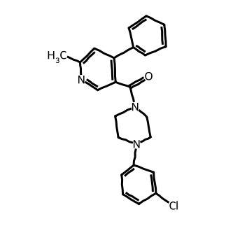 Cc1cc(-c2ccccc2)c(C(=O)N2CCN(c3cccc(Cl)c3)CC2)cn1